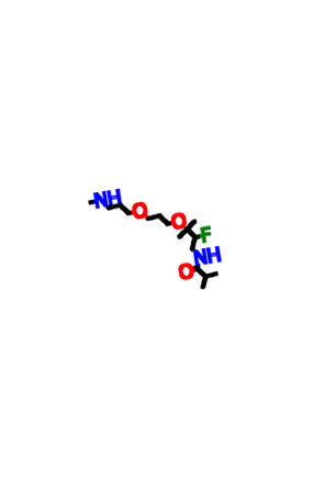 CNCCCOCCCOC(C)(C)C(F)CNC(=O)C(C)C